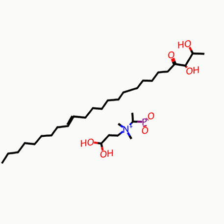 CC(P(=O)=O)[N+](C)(C)CCC(O)O.CCCCCCCCC=CCCCCCCCCCCCC(=O)C(O)C(C)O